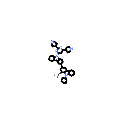 CC1CC(c2ccc3c(c2)c2ccccc2n3-c2cc(-c3ccncc3)nc(-c3ccncc3)n2)=Cc2c1n(-c1ccccc1)c1ccccc21